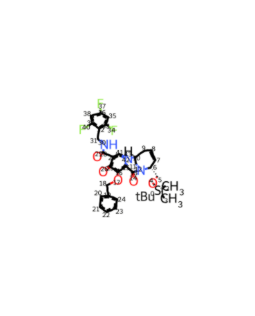 CC(C)(C)[Si](C)(C)OC[C@H]1C=CC[C@H]2CN1C(=O)c1c(OCc3ccccc3)c(=O)c(C(=O)NCc3c(F)cc(F)cc3F)cn12